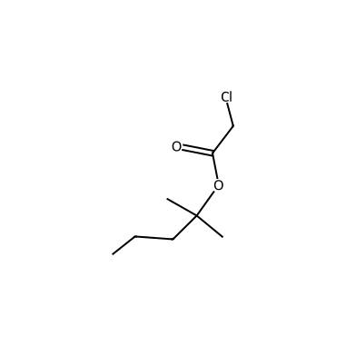 CCCC(C)(C)OC(=O)CCl